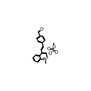 COS(=O)(=O)[O-].C[n+]1ccc(C=Cc2ccc(C=O)cc2)c2ccccc21